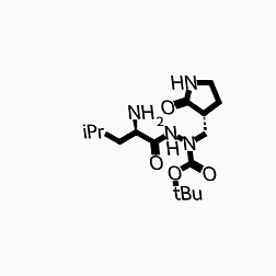 CC(C)C[C@@H](N)C(=O)NN(C[C@H]1CCNC1=O)C(=O)OC(C)(C)C